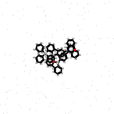 c1ccc(-c2ccc(-n3c4ccccc4c4cccc(-n5c6ccc(-n7c8ccccc8c8ccccc87)cc6c6cccc([Si](c7ccccc7)(c7ccccc7)c7ccccc7)c65)c43)cc2)cc1